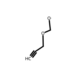 C#CCOC[O]